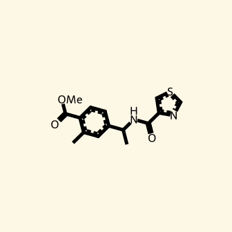 COC(=O)c1ccc(C(C)NC(=O)c2cscn2)cc1C